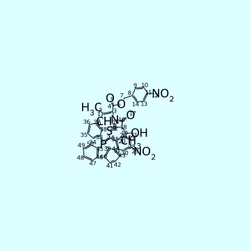 CC(C)=C(C(=O)OCc1ccc([N+](=O)[O-])cc1)N1C(=O)[C@@H]([C@@H](C)O)[C@H]1SC(c1ccc([N+](=O)[O-])cc1)=P(c1ccccc1)(c1ccccc1)c1ccccc1